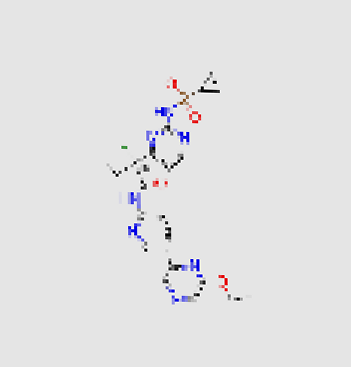 CCOc1cncc(-c2ccc(NC(=O)[C@@](F)(CC)c3ccnc(NS(=O)(=O)C4CC4)n3)nc2)n1